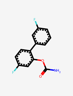 NC(=O)Oc1cc(F)ccc1-c1cccc(F)c1